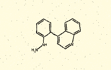 NNc1ccccc1-c1ccnc2ccccc12